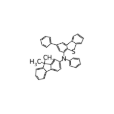 CC1(C)c2ccccc2-c2ccc(N(c3ccccc3)c3cc(-c4ccccc4)cc4c3sc3ccccc34)cc21